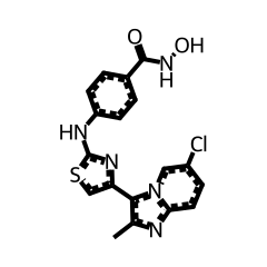 Cc1nc2ccc(Cl)cn2c1-c1csc(Nc2ccc(C(=O)NO)cc2)n1